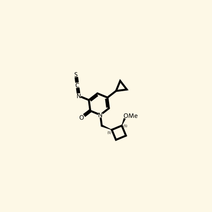 CO[C@H]1CC[C@H]1Cn1cc(C2CC2)cc(N=C=S)c1=O